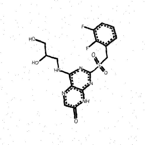 O=c1cnc2c(NCC(O)CO)nc(S(=O)(=O)Cc3cccc(F)c3F)nc2[nH]1